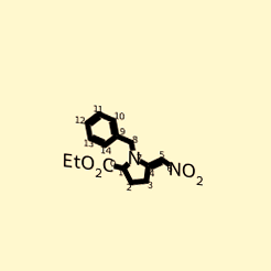 CCOC(=O)C1CC/C(=C\[N+](=O)[O-])N1Cc1ccccc1